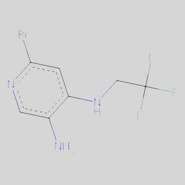 Nc1cnc(Br)cc1NCC(F)(F)F